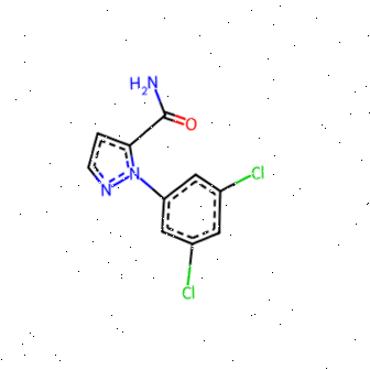 NC(=O)c1ccnn1-c1cc(Cl)cc(Cl)c1